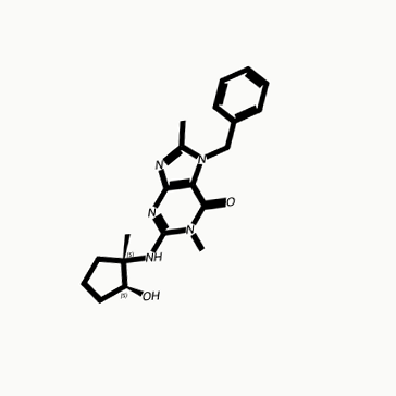 Cc1nc2nc(N[C@@]3(C)CCC[C@@H]3O)n(C)c(=O)c2n1Cc1ccccc1